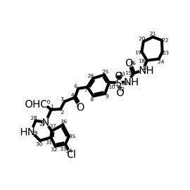 O=CC(CCC(=O)Cc1ccc(S(=O)(=O)NC(=O)NC2CCCCCC2)cc1)N1CNCc2cc(Cl)ccc21